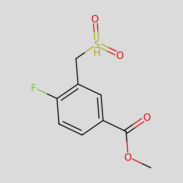 COC(=O)c1ccc(F)c(C[SH](=O)=O)c1